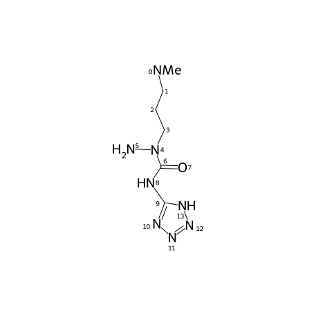 CNCCCN(N)C(=O)Nc1nnn[nH]1